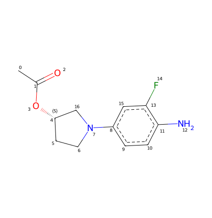 CC(=O)O[C@H]1CCN(c2ccc(N)c(F)c2)C1